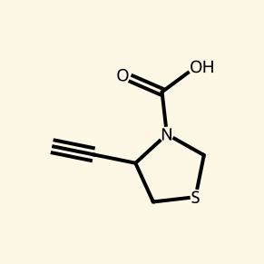 C#CC1CSCN1C(=O)O